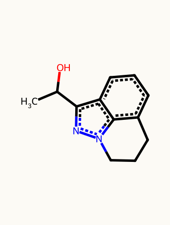 CC(O)c1nn2c3c(cccc13)CCC2